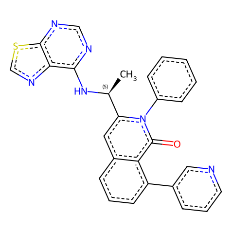 C[C@H](Nc1ncnc2scnc12)c1cc2cccc(-c3cccnc3)c2c(=O)n1-c1ccccc1